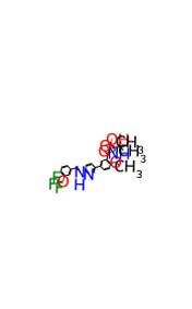 COc1ccc(-c2ccc(NCc3cccc(OC(F)(F)F)c3)nc2)cc1C(=O)N[C@H](C(=O)O)C(C)C